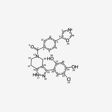 O=C(c1ccc(-c2cnco2)cc1)N1CCc2[nH]nc(-c3cc(Cl)c(O)cc3O)c2C1